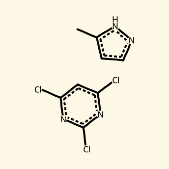 Cc1ccn[nH]1.Clc1cc(Cl)nc(Cl)n1